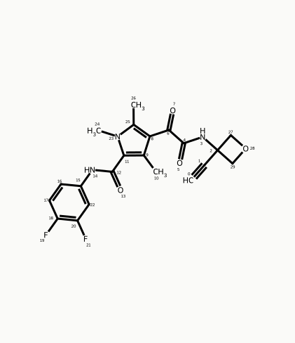 C#CC1(NC(=O)C(=O)c2c(C)c(C(=O)Nc3ccc(F)c(F)c3)n(C)c2C)COC1